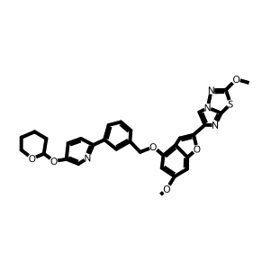 COc1cc(OCc2cccc(-c3ccc(OC4CCCCO4)cn3)c2)c2cc(-c3cn4nc(OC)sc4n3)oc2c1